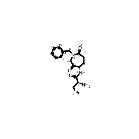 CC(C)C[C@H](N)C(=O)N[C@H]1CCC(=O)N(Cc2ccccc2)CC1=O